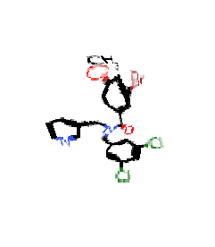 COc1cc(Br)cc(C(=O)N(Cc2cccnc2)Cc2cc(Cl)cc(Cl)c2)c1